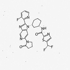 O=C(N[C@H]1CCC[C@@H](n2c(-c3ncccc3F)nc3cnc(N4CCCC4=O)cc32)C1)c1ncc(C(F)F)s1